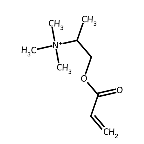 C=CC(=O)OCC(C)[N+](C)(C)C